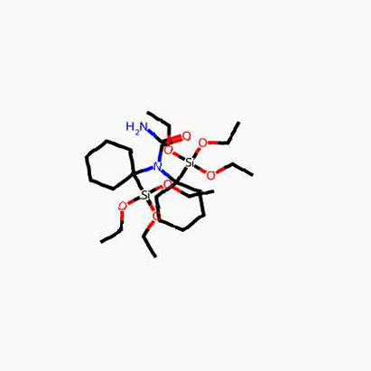 CCO[Si](OCC)(OCC)C1(N(C(N)=O)C2([Si](OCC)(OCC)OCC)CCCCC2)CCCCC1